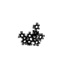 c1ccc(-c2nc(-c3ccccc3)nc(-c3ccc(-n4c5ccccc5c5ccccc54)c(-c4ccncc4-n4c5ccccc5c5ccccc54)c3)n2)cc1